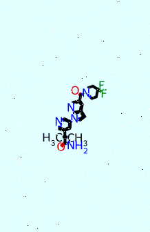 CC(C)(C(N)=O)c1cncc(-n2ccc3cc(C(=O)N4CCC(F)(F)CC4)cnc32)c1